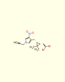 C#CCn1cc(C[C@@H]2[C@H](C=C(Br)Br)C2(C)C)c([N+](=O)[O-])c1